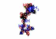 COCCCN(CC(=O)N(CCCN(C)C)CC(N)=O)C(=O)CN(CCCN(C)C)C(=O)CNC(=O)CCC(=O)Nc1ccc2c(c1)Oc1cc(NC(=O)[C@H](Cc3c[nH]c4ccccc34)NC(=O)[C@H](CCSC)NC(=O)[C@@H](NC(=O)[C@H](C)N)C(C)O)ccc1C21OC(=O)c2ccccc21